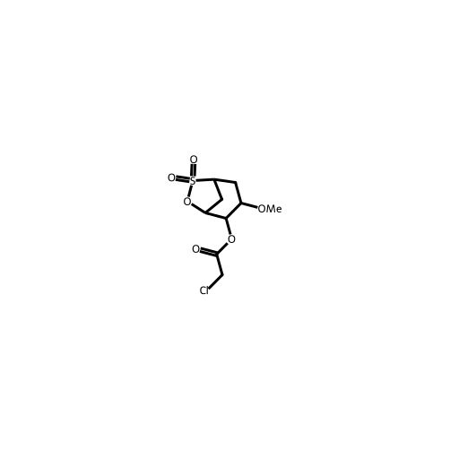 COC1CC2CC(OS2(=O)=O)C1OC(=O)CCl